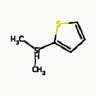 C[SiH](C)c1cccs1